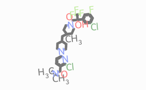 CN(C)C(=O)c1ccc(N2CCC(CC3(C)CCN(C(=O)C(O)(c4cc(F)cc(Cl)c4)C(F)(F)F)CC3)CC2)nc1Cl